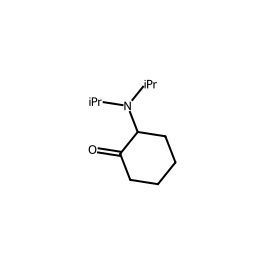 CC(C)N(C(C)C)C1CCCCC1=O